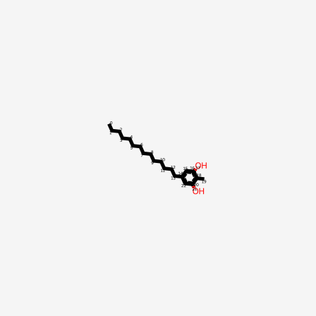 CCCCCCCCCCCCCCc1cc(O)c(C)c(O)c1